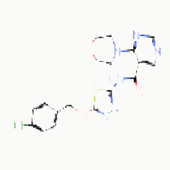 O=C(Nc1nnc(OCc2ccc(Cl)cc2)s1)c1cncnc1N1CCOCC1